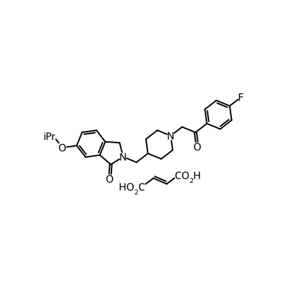 CC(C)Oc1ccc2c(c1)C(=O)N(CC1CCN(CC(=O)c3ccc(F)cc3)CC1)C2.O=C(O)/C=C/C(=O)O